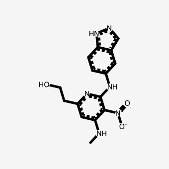 CNc1cc(CCO)nc(Nc2ccc3[nH]ncc3c2)c1[N+](=O)[O-]